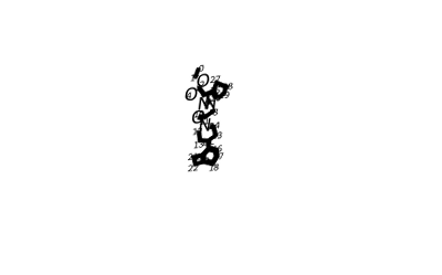 CCOC(=O)c1nn(CC(=O)N2CCC(c3cccc4c3CC4)CC2)c2c1CCC2